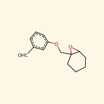 O=Cc1cccc(OCC23CCCCC2O3)c1